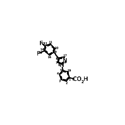 O=C(O)c1cccc(-n2cc(-c3ccc(F)c(F)c3)cn2)c1